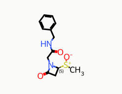 C[S+]([O-])[C@H]1CC(=O)N1CC(=O)NCc1ccccc1